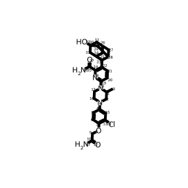 CC1CN(c2ccc(OCC(N)=O)c(Cl)c2)CCN1c1ccc(C2C3CC4CC2CC(O)(C4)C3)c(C(N)=O)n1